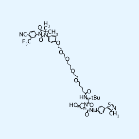 Cc1ncsc1-c1ccc(CNC(=O)[C@@H]2C[C@@H](O)CN2C(=O)[C@@H](NC(=O)CCCCOCCOCCCOCCOCCOc2ccc(N3C(=O)N(c4ccc(C#N)c(C(F)(F)F)c4)C(=O)C3(C)C)cc2)C(C)(C)C)cc1